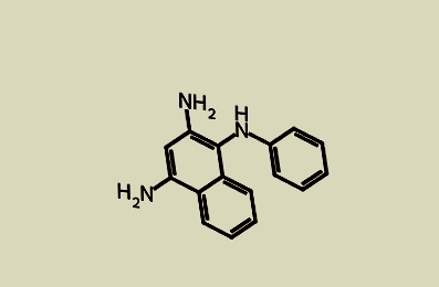 Nc1cc(N)c2ccccc2c1Nc1ccccc1